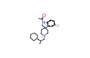 CC(=O)N1CC2(CCN(CC(C)C3CCCCC3)CC2)c2cc(F)ccc21